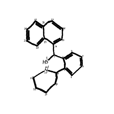 SC(c1ccccc1C1CCCCN1)c1cccc2ccccc12